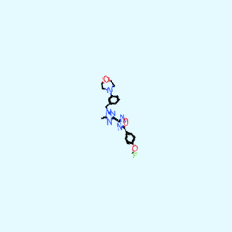 Cc1nc(-c2noc(-c3ccc(OCF)cc3)n2)nn1Cc1cccc(N2CCOCC2)c1